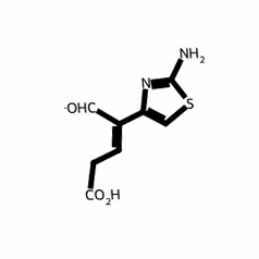 Nc1nc(/C([C]=O)=C/CC(=O)O)cs1